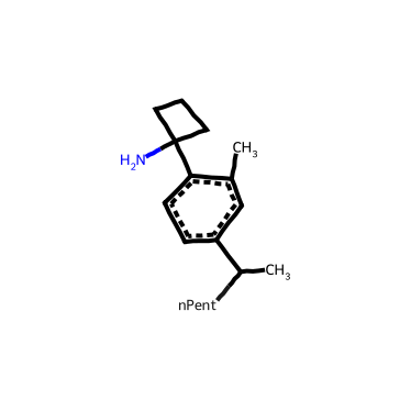 CCCCCC(C)c1ccc(C2(N)CCC2)c(C)c1